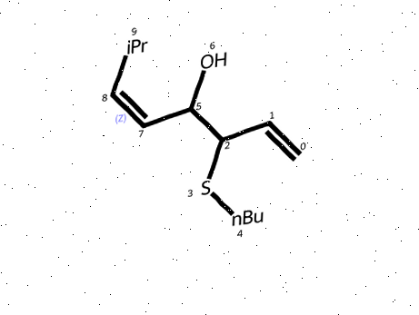 C=CC(SCCCC)C(O)/C=C\C(C)C